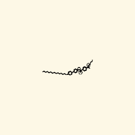 CCCCCCCCCCCCCCCc1ccc(-c2ccc(OC(=O)c3ccc(C(C)OCCCC)cc3)cc2)cc1